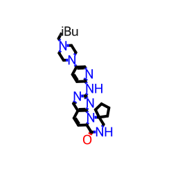 CCC(C)CN1CCN(c2ccc(Nc3ncc4c(n3)N3C(C=C4)C(=O)NCC34CCCC4)nc2)CC1